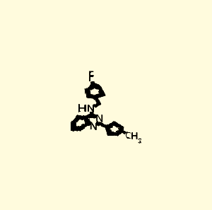 Cc1ccc(-c2nc(NCc3ccc(F)cc3)c3ccccc3n2)cc1